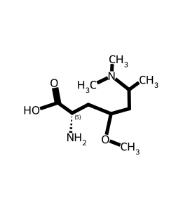 COC(CC(C)N(C)C)C[C@H](N)C(=O)O